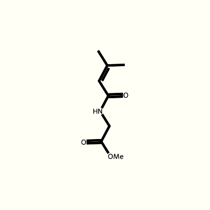 COC(=O)CNC(=O)C=C(C)C